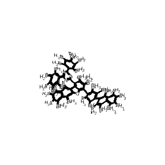 Bc1c(B)c(B)c(-c2nc(-c3c(B)c(B)c(B)c(B)c3B)nc(-c3c(B)c(B)c(-c4c(B)c(B)c(-c5c(B)c(B)c6c(B)c(B)c(B)c(B)c6c5B)c(B)c4B)c4oc5c(B)c6c(B)c(B)c(B)c(B)c6c(B)c5c34)n2)c(B)c1B